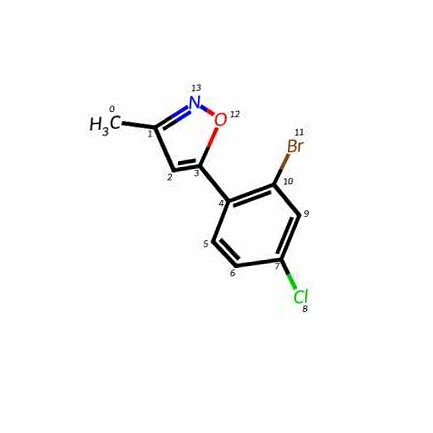 Cc1cc(-c2ccc(Cl)cc2Br)on1